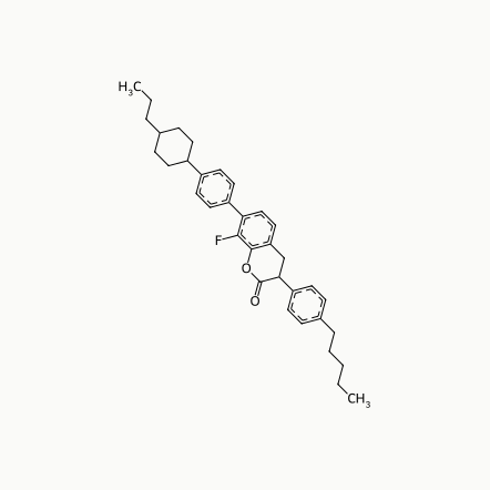 CCCCCc1ccc(C2Cc3ccc(-c4ccc(C5CCC(CCC)CC5)cc4)c(F)c3OC2=O)cc1